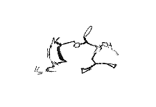 CN(C(=O)OCc1cn(C)nn1)C(C1CC1)C1CC1